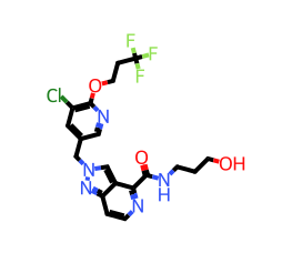 O=C(NCCCO)c1nccc2nn(Cc3cnc(OCCC(F)(F)F)c(Cl)c3)cc12